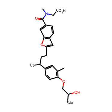 CCC(CCc1cc2ccc(C(=O)N(C)CC(=O)O)cc2o1)c1ccc(OCC(O)C(C)(C)C)c(C)c1